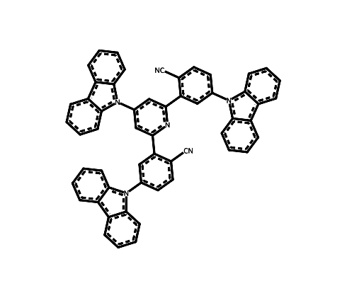 N#Cc1ccc(-n2c3ccccc3c3ccccc32)cc1-c1cc(-n2c3ccccc3c3ccccc32)cc(-c2cc(-n3c4ccccc4c4ccccc43)ccc2C#N)n1